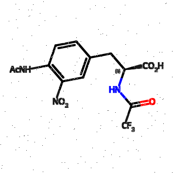 CC(=O)Nc1ccc(C[C@H](NC(=O)C(F)(F)F)C(=O)O)cc1[N+](=O)[O-]